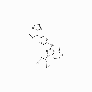 Cc1cc(Nc2nn(C(CC#N)C3CC3)c3cc[nH]c(=O)c23)ccc1C(C(C)C)n1nccn1